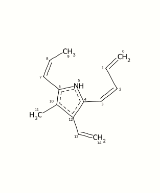 C=C/C=C\c1[nH]c(/C=C\C)c(C)c1C=C